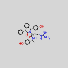 CC(NC(=O)[C@@H](CCCNC(=N)N)N(C(=O)C(c1ccccc1)c1ccccc1)C(C)c1ccc(O)cc1)c1ccc(O)cc1